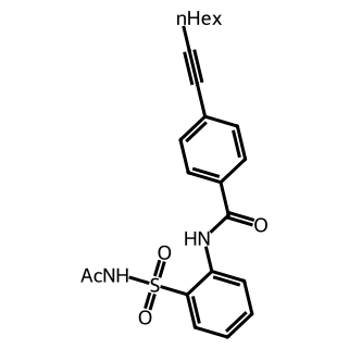 CCCCCCC#Cc1ccc(C(=O)Nc2ccccc2S(=O)(=O)NC(C)=O)cc1